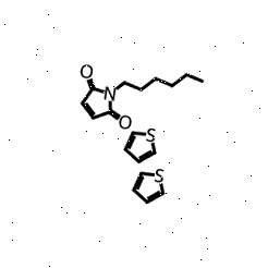 CCCCCCN1C(=O)C=CC1=O.c1ccsc1.c1ccsc1